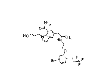 C[C@H](Cc1cc(C(N)=O)c2c(ccn2CCCO)c1)NCCOc1cc(Br)ccc1OCC(F)(F)F